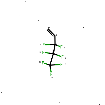 C=[C]C(F)(F)C(F)(F)C(F)(F)F